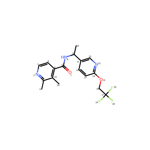 Cc1nccc(C(=O)NC(C)c2ccc(OCC(F)(F)F)nc2)c1C